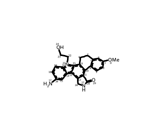 COc1ccc2c(c1)CCc1c-2c2c(c3c4cc(N)ccc4n(CCO)c13)CNC2=O